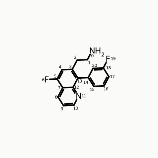 NCCc1cc(F)c2cccnc2c1-c1cccc(F)c1